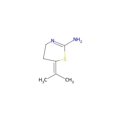 CC(C)=C1CCN=C(N)S1